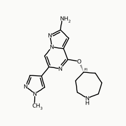 Cn1cc(-c2cn3nc(N)cc3c(O[C@@H]3CCCNCC3)n2)cn1